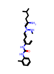 C=C/C(=C\C=C\N(/C=C(\N)CCC(C)C)NC)NC(=O)Nc1ccccc1C